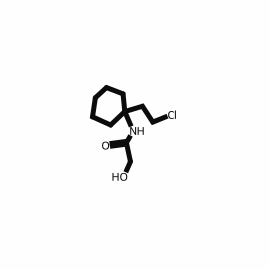 O=C(CO)NC1(CCCl)CCCCC1